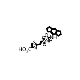 O=C(Nc1c2c(cc3c1CCC3)CCC2)NS(=O)(=O)/C=C/c1nc(C(=O)O)cs1